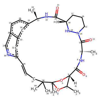 CC1OC2(C)O[C@@H]1C(=O)N[C@@H](C)C(=O)N1CCC[C@H](N1)C(=O)N[C@H](C)c1ccc3cnc(cc3c1)/C=C/CC2(C)C